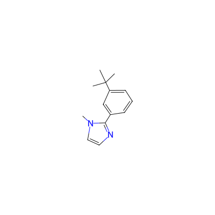 Cn1ccnc1-c1cccc(C(C)(C)C)c1